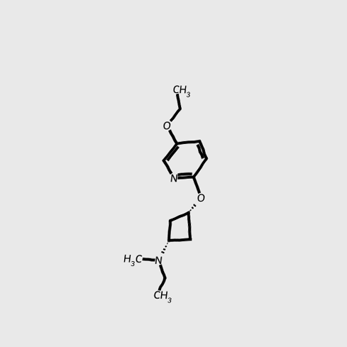 CCOc1ccc(O[C@H]2C[C@@H](N(C)CC)C2)nc1